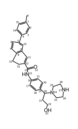 Cc1ccc(-c2ccc3c(c2)C=C(C(=O)Nc2ccc(C(CCO)N4CCNCC4)cc2)CC3)cc1